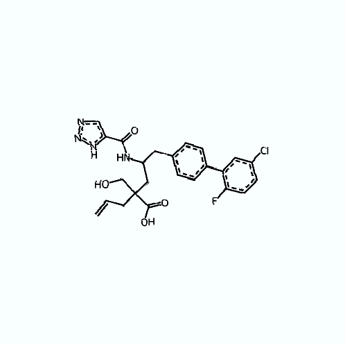 C=CCC(CO)(CC(Cc1ccc(-c2cc(Cl)ccc2F)cc1)NC(=O)c1cnn[nH]1)C(=O)O